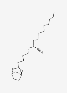 [CH2]CCCCCCCCC(C#N)CCCCC[C]1OC2CCC(CC2)O1